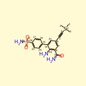 C[Si](C)(C)C#Cc1cc(C(N)=O)c(N)c(-c2ccc(S(N)(=O)=O)cc2)c1